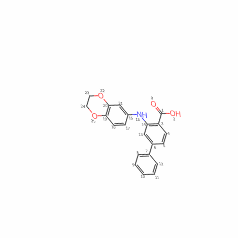 O=C(O)c1ccc(-c2ccccc2)cc1Nc1ccc2c(c1)OCCO2